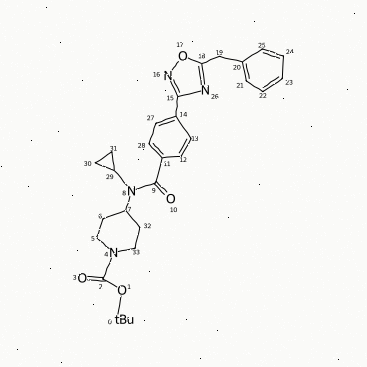 CC(C)(C)OC(=O)N1CCC(N(C(=O)c2ccc(-c3noc(Cc4ccccc4)n3)cc2)C2CC2)CC1